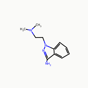 CN(C)CCn1nc(N)c2ccccc21